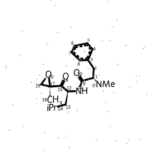 CN[C@@H](Cc1ccccc1)C(=O)N[C@@H](CC(C)C)C(=O)[C@@]1(C)CO1